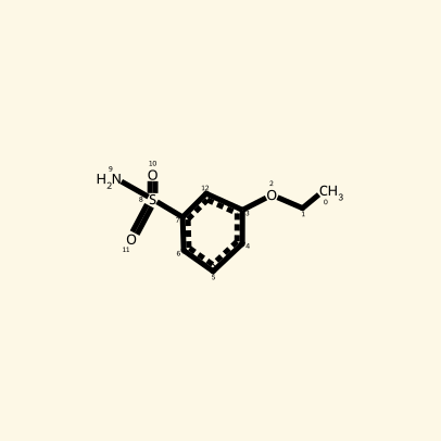 CCOc1cccc(S(N)(=O)=O)c1